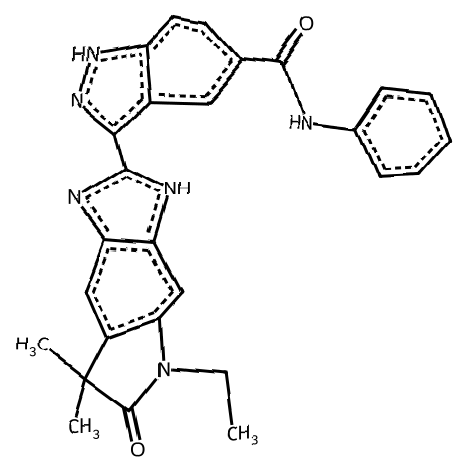 CCN1C(=O)C(C)(C)c2cc3nc(-c4n[nH]c5ccc(C(=O)Nc6ccccc6)cc45)[nH]c3cc21